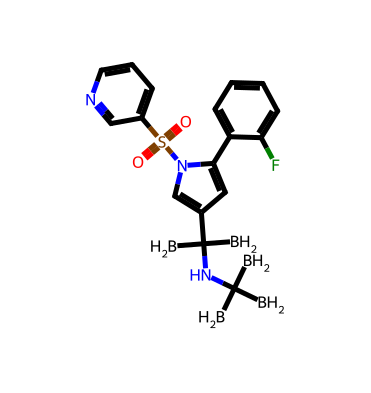 BC(B)(B)NC(B)(B)c1cc(-c2ccccc2F)n(S(=O)(=O)c2cccnc2)c1